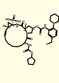 O=C(N[C@H]1CCCCC/C=C\[C@@H]2C[C@@]2(P(=O)(O)O)NC(=O)[C@@H]2C[C@@H](OC(=O)Nc3cc(CF)ccc3N3CCCCC3)CN2C1=O)OC1CCCC1